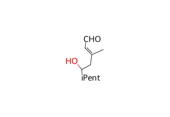 CCCC(C)C(O)CC(C)=CC=O